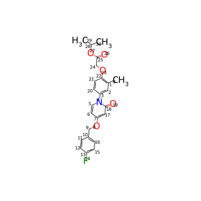 Cc1cc(-n2ccc(OCc3ccc(F)cc3)cc2=O)ccc1OCC(=O)OC(C)C